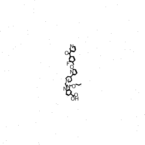 CCCOCn1c(CN2CCC(c3cccc(OCc4ccc(C(=O)c5cccnc5)cc4F)n3)CC2)nc2ccc(C(=O)O)cc21